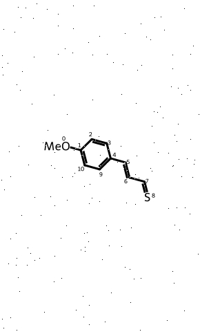 COc1ccc(C=CC=S)cc1